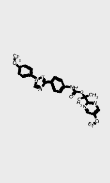 CCOc1cnc(C(C)(C)OC(=O)Nc2ccc(-c3ncn(-c4ccc(OC(F)(F)F)cc4)n3)cc2)nc1